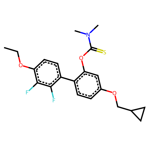 CCOc1ccc(-c2ccc(OCC3CC3)cc2OC(=S)N(C)C)c(F)c1F